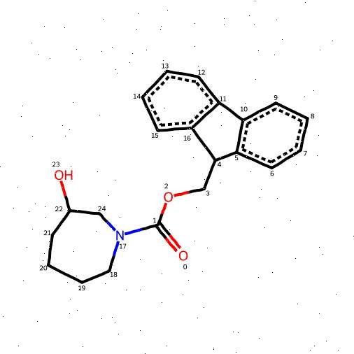 O=C(OCC1c2ccccc2-c2ccccc21)N1CCCCC(O)C1